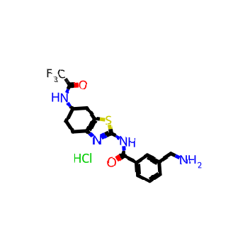 Cl.NCc1cccc(C(=O)Nc2nc3c(s2)CC(NC(=O)C(F)(F)F)CC3)c1